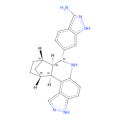 Nc1n[nH]c2cc([C@@H]3Nc4ccc5[nH]ncc5c4[C@H]4[C@@H]5CC[C@@H](C5)[C@H]43)ccc12